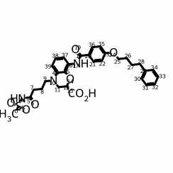 CS(=O)(=O)NC(=O)CCCN1CC(C(=O)O)Oc2c(NC(=O)c3ccc(OCCCCc4ccccc4)cc3)cccc21